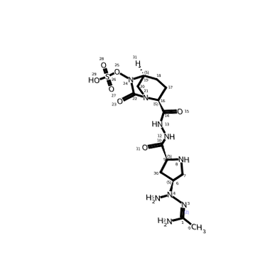 C/C(N)=N/N(N)[C@@H]1CN[C@H](C(=O)NNC(=O)[C@@H]2CC[C@H]3CN2C(=O)N3OS(=O)(=O)O)C1